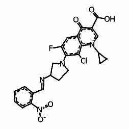 O=C(O)c1cn(C2CC2)c2c(Cl)c(N3CCC(/N=C/c4ccccc4[N+](=O)[O-])C3)c(F)cc2c1=O